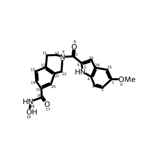 COc1ccc2[nH]c(C(=O)N3CCc4ccc(C(=O)NO)cc4C3)cc2c1